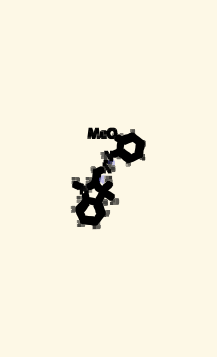 COc1ccccc1/N=N/C=C1/N(C)c2ccccc2C1(C)C